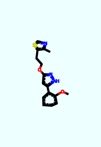 COc1ccccc1-c1cc(OCCc2scnc2C)n[nH]1